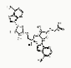 Nc1ncnc2c1ncn2[C@@H]1O[C@H](OCP(=O)(O)O[C@H]2[C@@H](O)[C@@H](OC[PH](=O)O)O[C@H]2n2cnc3c(N)ncnc32)[C@H](O)[C@@H]1F